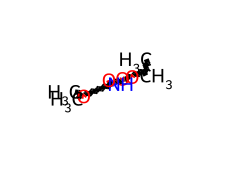 CCCCC(C)CCCOCCOCCNC(=O)CCCCCCCCOC(C)CC